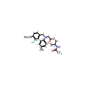 COc1ccc(CN(CC2OCC(NC(=O)C(F)(F)F)CO2)c2ccc(C#N)cc2)cc1F